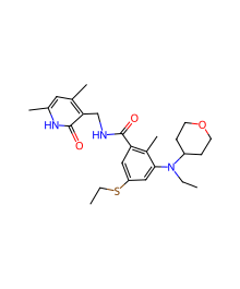 CCSc1cc(C(=O)NCc2c(C)cc(C)[nH]c2=O)c(C)c(N(CC)C2CCOCC2)c1